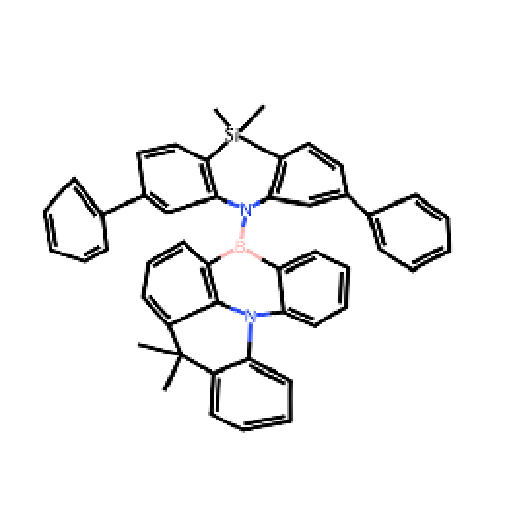 CC1(C)c2ccccc2N2c3ccccc3B(N3c4cc(-c5ccccc5)ccc4[Si](C)(C)c4ccc(-c5ccccc5)cc43)c3cccc1c32